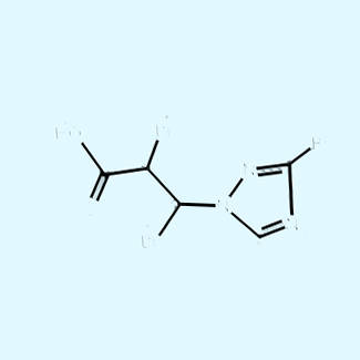 O=C(O)C(Br)C(Br)n1cnc(Br)n1